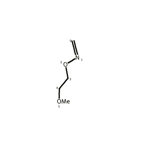 C=NOCCOC